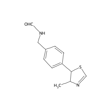 CC1N=CSC1c1ccc(CNC=O)cc1